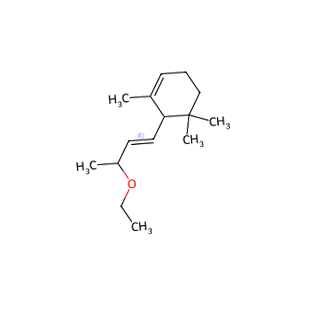 CCOC(C)/C=C/C1C(C)=CCCC1(C)C